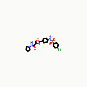 O=C(NC1CCCC1)c1coc(-c2ccc(NS(=O)(=O)c3ccc(Cl)cc3)cc2)n1